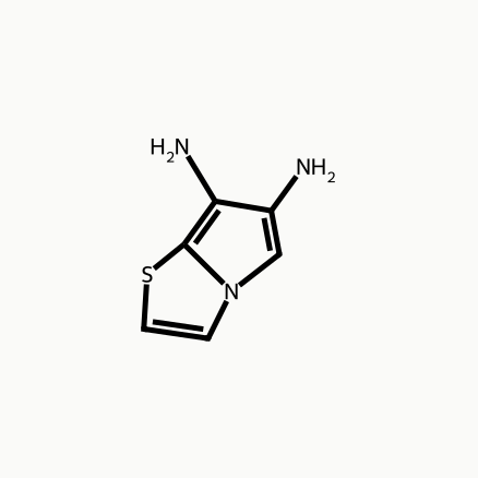 Nc1cn2ccsc2c1N